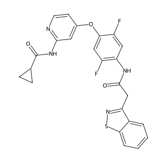 O=C(Cc1nsc2ccccc12)Nc1cc(F)c(Oc2ccnc(NC(=O)C3CC3)c2)cc1F